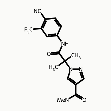 CNC(=O)c1cnn(C(C)(C)C(=O)Nc2ccc(C#N)c(C(F)(F)F)c2)c1